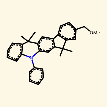 COCc1ccc2c(c1)C(C)(C)c1cc3c(cc1-2)C(C)(C)c1ccccc1N3c1ccccc1